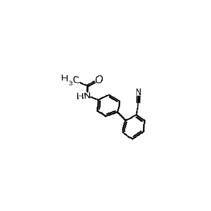 CC(=O)Nc1ccc(-c2ccccc2C#N)cc1